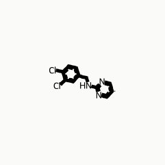 Clc1ccc(CNc2nc[c]cn2)cc1Cl